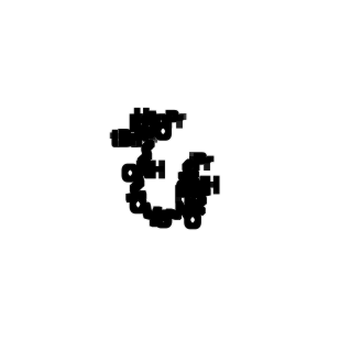 CCCC(C)(CC)C(=O)[C@H](CCCCNC(=O)CCC(C)(C)OCCC(C)(C)OCCNC(=O)C(C)(C)CC(C)(C)NC(=O)C(C)(C)CC(C)C)NC(C)(C)C